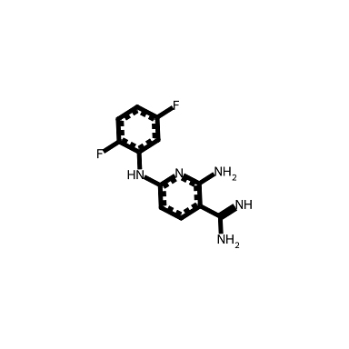 N=C(N)c1ccc(Nc2cc(F)ccc2F)nc1N